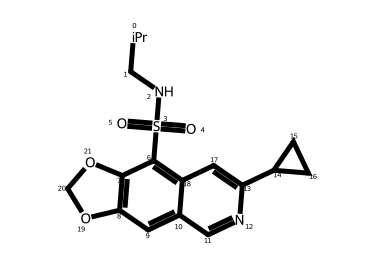 CC(C)CNS(=O)(=O)c1c2c(cc3cnc(C4CC4)cc13)OCO2